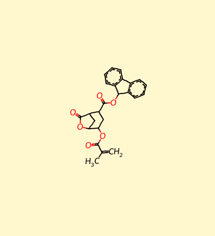 C=C(C)C(=O)OC1CC(C(=O)OC2c3ccccc3-c3ccccc32)C2CC1OC2=O